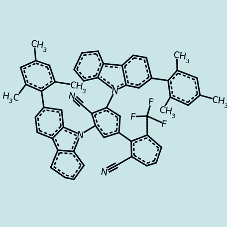 Cc1cc(C)c(-c2ccc3c4ccccc4n(-c4cc(-c5c(C#N)cccc5C(F)(F)F)cc(-n5c6ccccc6c6ccc(-c7c(C)cc(C)cc7C)cc65)c4C#N)c3c2)c(C)c1